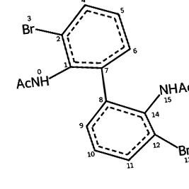 CC(=O)Nc1c(Br)cccc1-c1cccc(Br)c1NC(C)=O